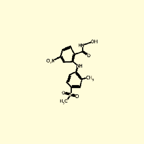 Cc1cc(S(C)(=O)=O)ccc1Nc1cc([N+](=O)[O-])ccc1C(=O)NO